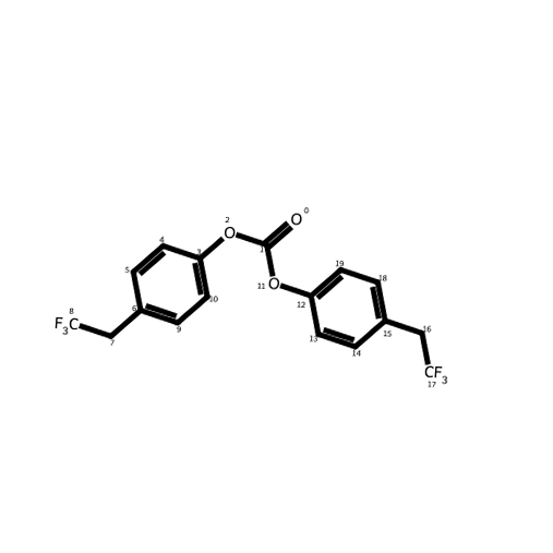 O=C(Oc1ccc(CC(F)(F)F)cc1)Oc1ccc(CC(F)(F)F)cc1